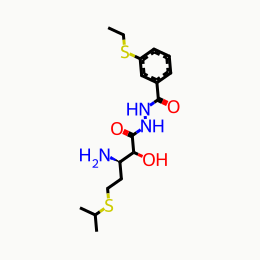 CCSc1cccc(C(=O)NNC(=O)C(O)[C@H](N)CCSC(C)C)c1